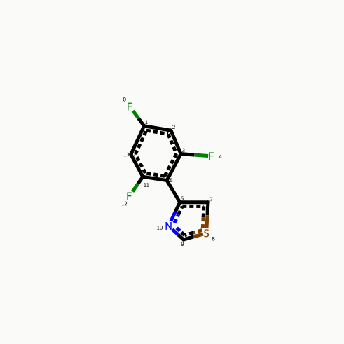 Fc1cc(F)c(-c2cscn2)c(F)c1